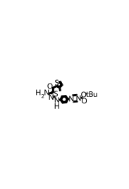 Cc1ccsc1C(=O)c1sc(Nc2ccc(N3CCN(C(=O)OC(C)(C)C)CC3)cc2)nc1N